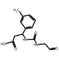 Cc1cccc(C(CC(=O)O)NC(=O)NCC=O)c1